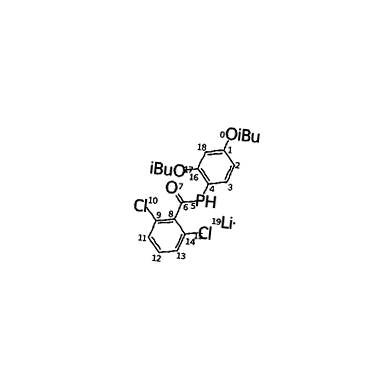 CC(C)COc1ccc(PC(=O)c2c(Cl)cccc2Cl)c(OCC(C)C)c1.[Li]